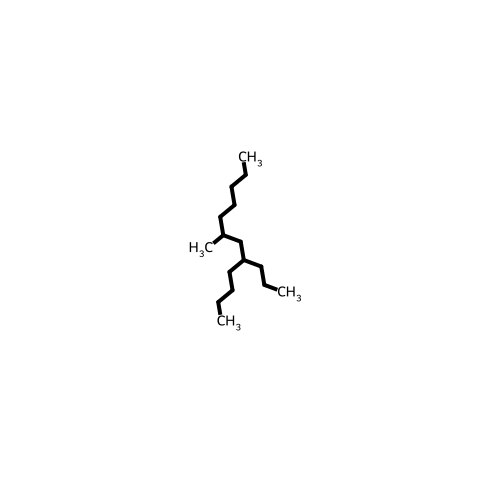 CCCCCC(C)CC(CCC)CCCC